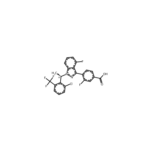 C[C@H](c1c(Cl)cccc1C(F)(F)F)n1nc(-c2ccc(C(=O)O)cc2F)c2c(F)cccc21